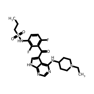 CCCS(=O)(=O)Nc1ccc(F)c(C(=O)c2c[nH]c3ncnc(NC4CCN(CC)CC4)c23)c1F